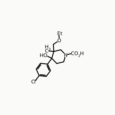 CCOCC1(C)CN(C(=O)O)CCC1(O)c1ccc(Cl)cc1